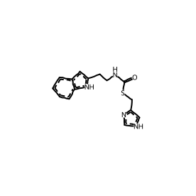 O=C(NCCc1cc2ccccc2[nH]1)SCc1c[nH]cn1